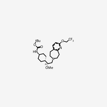 CO[C@@H](CN1CCc2ccc(OCC(F)(F)F)nc2CC1)[C@H]1CC[C@H](NC(=O)OC(C)(C)C)CC1